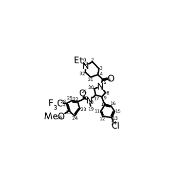 CCN1CCC(C(=O)N2CC(c3ccc(Cl)cc3)C(N(C)C(=O)c3ccc(OC)c(C(F)(F)F)c3)C2)CC1